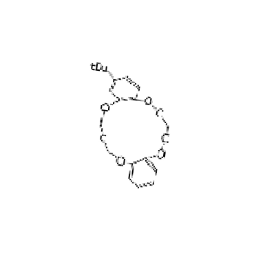 CC(C)(C)c1ccc2c(c1)OCCCOc1ccccc1OCCCO2